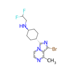 Cc1nccn2c1c(Br)nc2[C@H]1CC[C@H](NCC(F)F)CC1